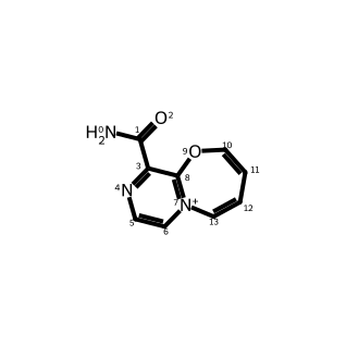 NC(=O)c1ncc[n+]2c1OC=CC=C2